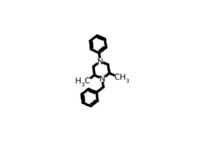 CC1CN(c2ccccc2)CC(C)N1Cc1ccccc1